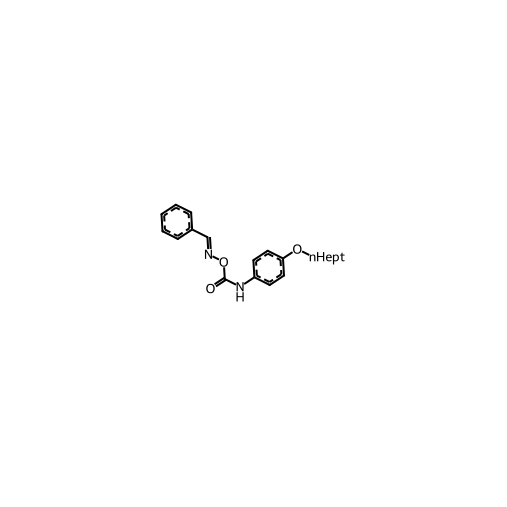 CCCCCCCOc1ccc(NC(=O)O/N=C/c2ccccc2)cc1